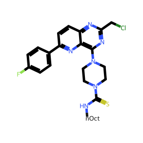 CCCCCCCCNC(=S)N1CCN(c2nc(CCl)nc3ccc(-c4ccc(F)cc4)nc23)CC1